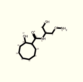 NOCC(CS)NC(=O)C1CCCCCCC1O